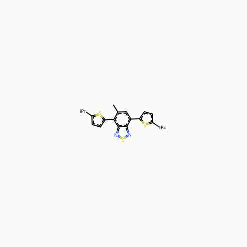 Cc1cc(-c2ccc(C(C)(C)C)s2)c2nsnc2c1-c1ccc(C(C)C)s1